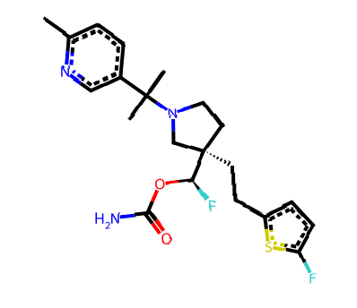 Cc1ccc(C(C)(C)N2CC[C@@](CCc3ccc(F)s3)([C@@H](F)OC(N)=O)C2)cn1